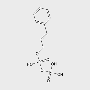 O=P(O)(O)OP(=O)(O)OCC=Cc1ccccc1